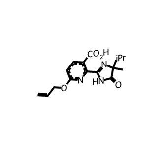 C=CCOc1ccc(C(=O)O)c(C2=NC(C)(C(C)C)C(=O)N2)n1